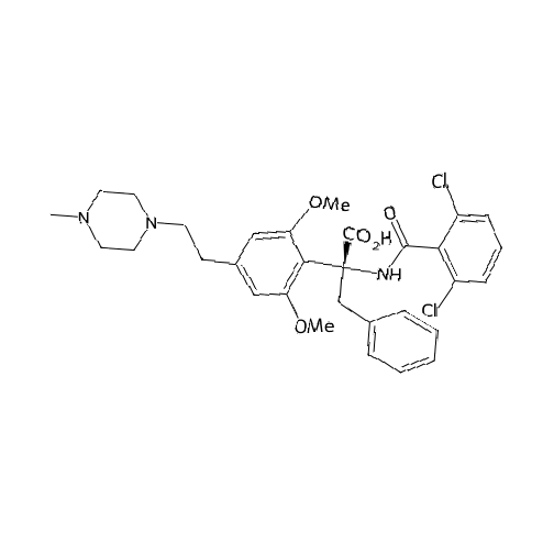 COc1cc(CCN2CCN(C)CC2)cc(OC)c1[C@@](Cc1ccccc1)(NC(=O)c1c(Cl)cccc1Cl)C(=O)O